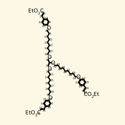 CCOC(=O)C=Cc1ccc(OCCCCCCCCCOCC(COCCCCCCCCCOc2ccc(C=CC(=O)OCC)cc2)OCCCCCCCCCOc2ccc(C=CC(=O)OCC)cc2)cc1